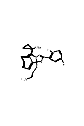 COC1(C(=O)N2N=C(c3cc(F)ccc3F)SC2(CCCN)c2ccccc2)CC1